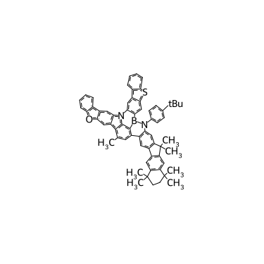 Cc1cc2c3c4c1c1cc5oc6ccccc6c5cc1n4-c1cc4c(cc1B3N(c1ccc(C(C)(C)C)cc1)c1cc3c(cc1-2)-c1cc2c(cc1C3(C)C)C(C)(C)CCC2(C)C)sc1ccccc14